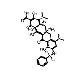 CN(C)c1cc(NS(=O)(=O)c2ccccc2)c(O)c2c1C[C@@]1(N)C[C@H]3C(N(C)C)C(O)=C(C(N)=O)C(=O)C3(O)C(O)=C1C2=O